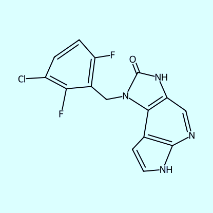 O=c1[nH]c2cnc3[nH]ccc3c2n1Cc1c(F)ccc(Cl)c1F